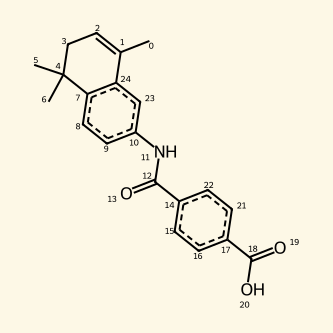 CC1=CCC(C)(C)c2ccc(NC(=O)c3ccc(C(=O)O)cc3)cc21